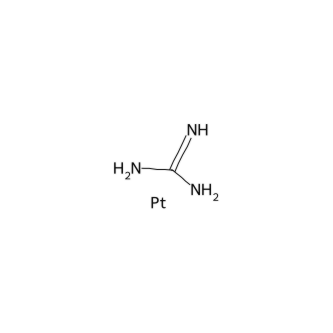 N=C(N)N.[Pt]